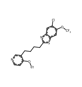 CCOc1ccncc1CCCCc1nc2cc(Cl)c(OC(F)(F)F)cc2s1